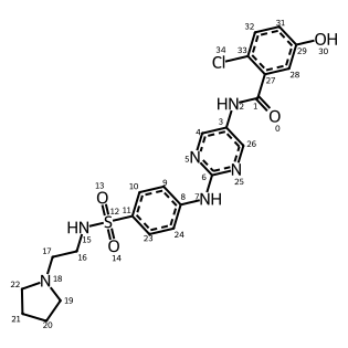 O=C(Nc1cnc(Nc2ccc(S(=O)(=O)NCCN3CCCC3)cc2)nc1)c1cc(O)ccc1Cl